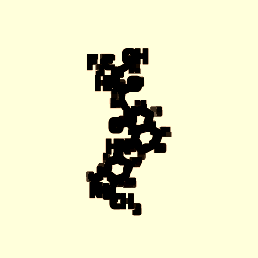 Cn1ncc2cc(Nc3cccc4ccn(CC(=O)NC(CO)C(F)(F)F)c(=O)c34)ccc21